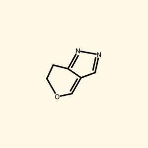 C1=NN=C2CCOC=C12